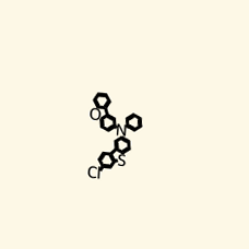 Clc1ccc2c(c1)sc1ccc(N(c3ccccc3)c3ccc4oc5ccccc5c4c3)cc12